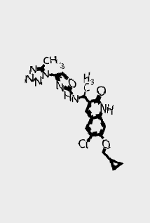 Cc1nnnn1-c1coc(N[C@@H](C)c2cc3cc(Cl)c(OCC4CC4)cc3[nH]c2=O)n1